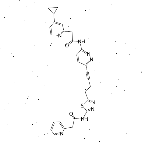 O=C(Cc1cc(C2CC2)ccn1)Nc1ccc(C#CCCc2nnc(NC(=O)Cc3ccccn3)s2)nn1